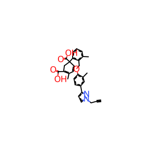 C#CCn1ccc(-c2ccc(OCc3c(C)cccc3C3(C(=O)O)C=CC(C)=C(C(=O)O)C3)c(C)c2)n1